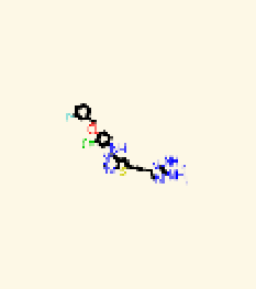 Nc1ncc(C#Cc2cc3c(Nc4ccc(OCc5cccc(F)c5)c(Cl)c4)ncnc3s2)nc1N